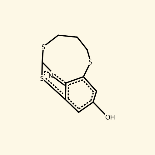 Oc1cc2c3nc(sc3c1)SCCCS2